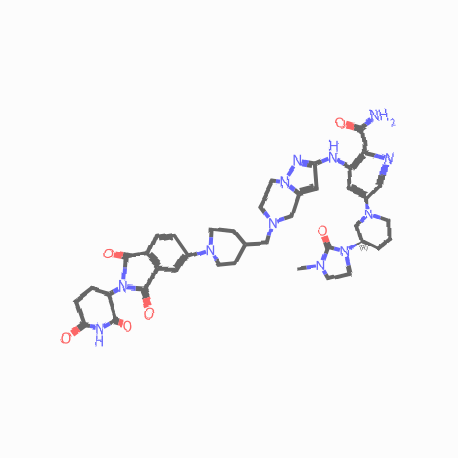 CN1CCN([C@@H]2CCCN(c3cnc(C(N)=O)c(Nc4cc5n(n4)CCN(CC4CCN(c6ccc7c(c6)C(=O)N(C6CCC(=O)NC6=O)C7=O)CC4)C5)c3)C2)C1=O